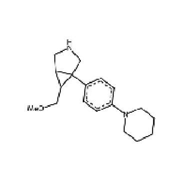 COCC1C2CNCC21c1ccc(N2CCCCC2)cc1